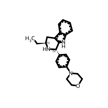 CC[C@H]1Cc2c([nH]c3ccccc23)[C@H](c2ccc(N3CCOCC3)cc2)N1